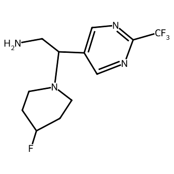 NCC(c1cnc(C(F)(F)F)nc1)N1CCC(F)CC1